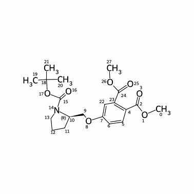 COC(=O)c1ccc(OC[C@H]2CCCN2C(=O)OC(C)(C)C)cc1C(=O)OC